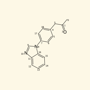 CC(=O)Cc1ccc(-n2cnc3ccccc32)cc1